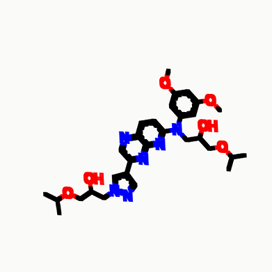 COc1cc(OC)cc(N(CC(O)COC(C)C)c2ccc3ncc(-c4cnn(CC(O)COC(C)C)c4)nc3n2)c1